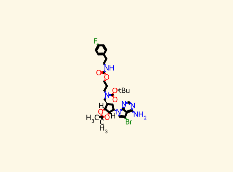 CC(C)(C)OC(=O)N(CCCOC(=O)NCCc1ccc(F)cc1)C[C@H]1C[C@@H](n2cc(Br)c3c(N)ncnc32)[C@@H]2OC(C)(C)O[C@H]12